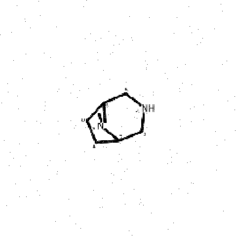 C1CC2CNCC1=N2